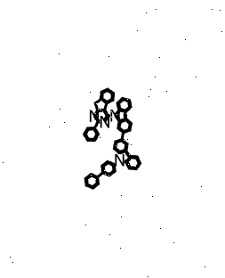 c1ccc(-c2ccc(-n3c4ccccc4c4cc(-c5ccc6c7ccccc7n(-c7nc(-c8ccccc8)nc8c7-c7ccccc7C8)c6c5)ccc43)cc2)cc1